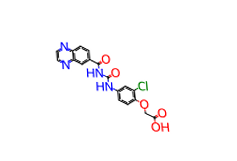 O=C(O)COc1ccc(NC(=O)NC(=O)c2ccc3nccnc3c2)cc1Cl